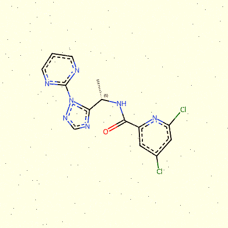 C[C@H](NC(=O)c1cc(Cl)cc(Cl)n1)c1ncnn1-c1ncccn1